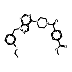 CCOc1cccc(Cn2ncc3c(N4CCN(C(=O)c5ccc(C(=O)OC)cc5)CC4)ncnc32)c1